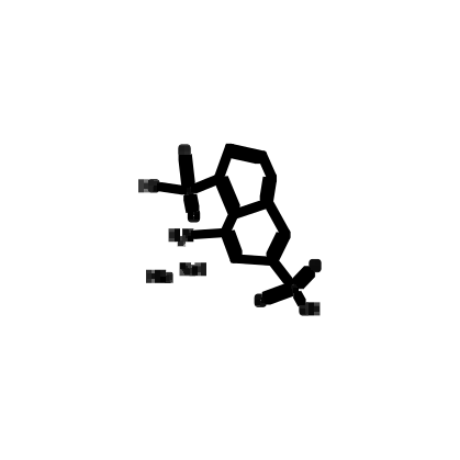 Nc1cc(S(=O)(=O)O)cc2cccc(S(=O)(=O)O)c12.[NaH].[NaH]